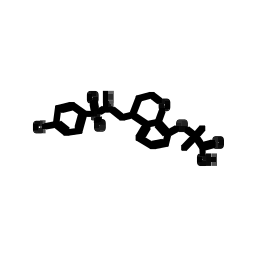 CC(C)(Oc1cccc2c1OCCC2CNS(=O)(=O)c1ccc(Cl)cc1)C(=O)O